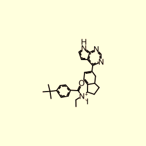 CC[N@@+](I)(C(=O)c1ccc(C(C)(C)C)cc1)C1CCC2CC(c3ncnc4[nH]ccc34)=CC=C21